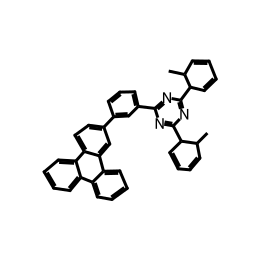 CC1C=CC=CC1c1nc(-c2cccc(-c3ccc4c5ccccc5c5ccccc5c4c3)c2)nc(C2C=CC=CC2C)n1